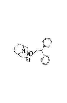 CCC(=O)N1C2CCCC1CN(CCC(c1ccccc1)c1ccccc1)CC2